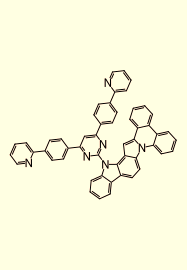 c1ccc(-c2ccc(-c3cc(-c4ccc(-c5ccccn5)cc4)nc(-n4c5ccccc5c5ccc6c(cc7c8ccccc8c8ccccc8n76)c54)n3)cc2)nc1